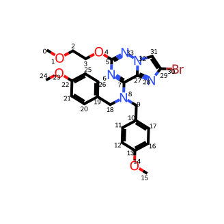 COCCOc1nc(N(Cc2ccc(OC)cc2)Cc2ccc(OC)cc2)c2nc(Br)cn2n1